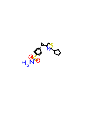 NS(=O)(=O)c1ccc([C@@H]2C[C@H]2c2csc(C3CCCC3)n2)cc1